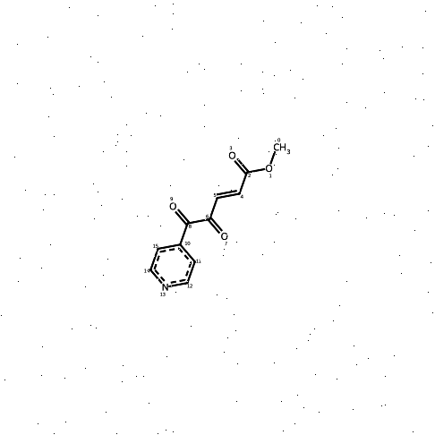 COC(=O)/C=C/C(=O)C(=O)c1ccncc1